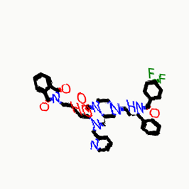 O=C(N[C@@H](CCN1CCN(C(=O)O)[C@@H](CN(CCCCN2C(=O)c3ccccc3C2=O)Cc2ccccn2)C1)c1ccccc1)C1CCC(F)(F)CC1